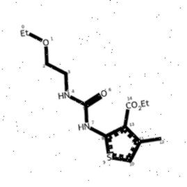 CCOCCNC(=O)Nc1scc(C)c1C(=O)OCC